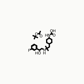 CC(=O)OC(C)(C)C.CC(C)(CC1CCC(NC(=O)O)CC1)NC[C@H](O)c1cccc(F)c1